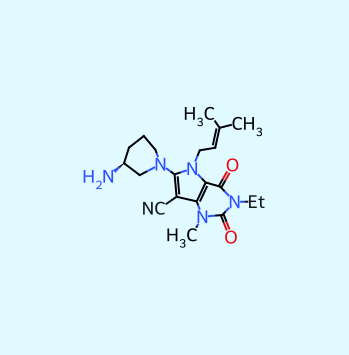 CCn1c(=O)c2c(c(C#N)c(N3CCC[C@H](N)C3)n2CC=C(C)C)n(C)c1=O